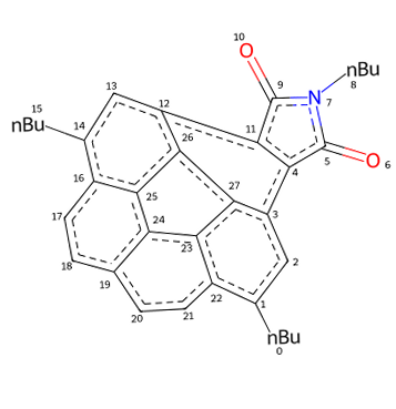 CCCCc1cc2c3c(=O)n(CCCC)c(=O)c3c3cc(CCCC)c4ccc5ccc1c1c5c4c3c21